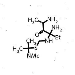 CCC(N)(NCSC(C)(C)NC)C(=O)C(C)N